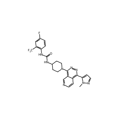 Cn1nccc1-c1nnc(N2CCC(NC(=O)Nc3ccc(F)cc3C(F)(F)F)CC2)c2cnccc12